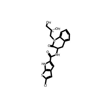 O=C(NC1Cc2ccccc2N(C[C@@H](O)CO)C1=O)c1cc2cc(Cl)sc2[nH]1